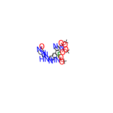 Cc1c(-c2cc3cc(Nc4cc5n(n4)CC(=O)N(C)CC5)ncc3c(NC(=O)OC(C)(C)C)c2F)cncc1N(C(=O)OC(C)(C)C)C(=O)OC(C)(C)C